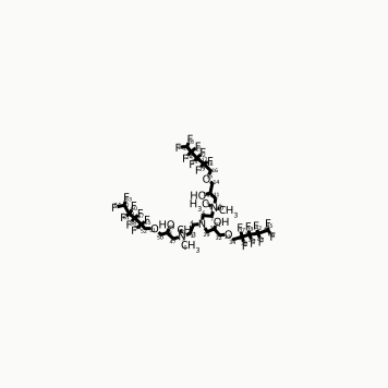 C[N+](C)(CCN(CC[N+](C)(C)CC(O)COCC(F)(F)C(F)(F)C(F)(F)C(F)F)CC(O)COCC(F)(F)C(F)(F)C(F)(F)C(F)F)CC(O)COCC(F)(F)C(F)(F)C(F)(F)C(F)F